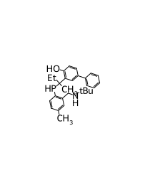 CCC(C)(Pc1ccc(C)cc1CNC(C)(C)C)c1cc(-c2ccccc2)ccc1O